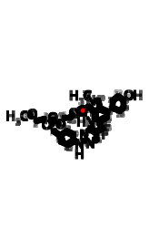 COCCOP(=O)(Cc1ccc(Nc2ncc(C(F)(F)F)c(Nc3ccc([C@H]4CC[C@H](O)CC4)c4c3C(=O)N(C)C4)n2)cc1)OCCOC